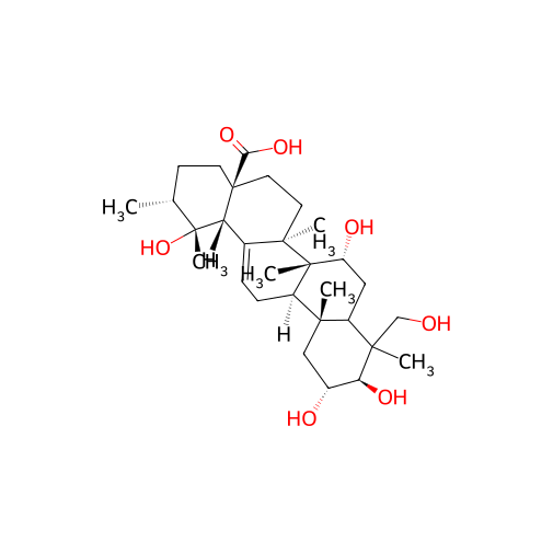 C[C@@H]1CC[C@]2(C(=O)O)CC[C@]3(C)C(=CC[C@H]4[C@@]3(C)[C@H](O)CC3C(C)(CO)[C@@H](O)[C@H](O)C[C@@]34C)[C@@H]2[C@]1(C)O